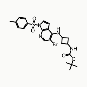 Cc1ccc(S(=O)(=O)n2ccc3c(NC4CC(NC(=O)OC(C)(C)C)C4)c(Br)cnc32)cc1